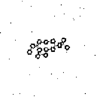 c1ccc(-c2cccc(N(c3cccc(-c4ccc(-c5cccc(N(c6cccc(-c7ccccc7)c6)c6ccc7c(c6)c6ccccc6n7-c6ccccc6)c5)cc4)c3)c3ccc4c(c3)c3ccccc3n4-c3ccccc3)c2)cc1